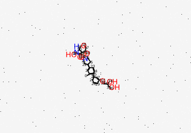 Cc1cc(C2CCN(S(=O)(=O)C3(C(=O)NO)CCOCC3)CC2)ccc1-c1cccc(OC[C@@H](O)CO)c1